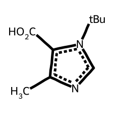 Cc1ncn(C(C)(C)C)c1C(=O)O